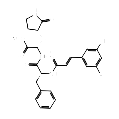 COC(=O)[C@H](C[C@@H]1CCNC1=O)NC(=O)[C@H](Cc1ccccc1)NC(=O)/C=C/c1cc(F)cc(Cl)c1